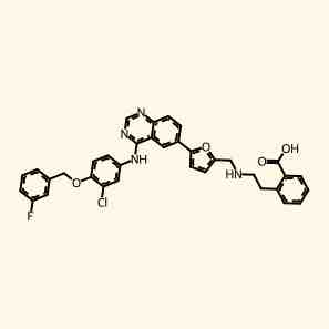 O=C(O)c1ccccc1CCNCc1ccc(-c2ccc3ncnc(Nc4ccc(OCc5cccc(F)c5)c(Cl)c4)c3c2)o1